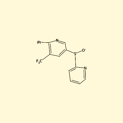 CC(C)c1ncc([S+]([O-])c2ccccn2)cc1C(F)(F)F